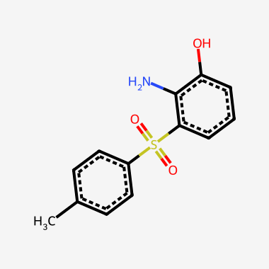 Cc1ccc(S(=O)(=O)c2cccc(O)c2N)cc1